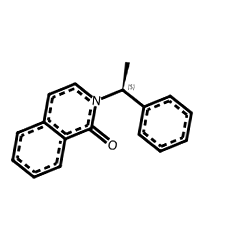 C[C@@H](c1ccccc1)n1ccc2ccccc2c1=O